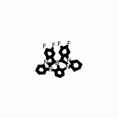 Fc1cc2c3c4n(c5ccccc5n4c2cc1F)-c1cccc2c1B3c1c3cc(F)c(F)cc3n3c4ccccc4n-2c13